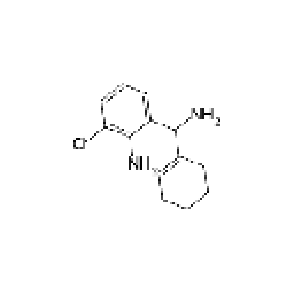 Nc1c(Cl)cccc1C(N)C1=CCCCC1